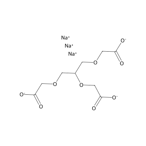 O=C([O-])COCC(COCC(=O)[O-])OCC(=O)[O-].[Na+].[Na+].[Na+]